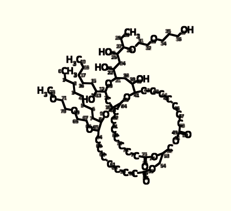 CCCCCCCCC1OC2CC(C(O)CCCCC)OC(C(O)CC(O)C(CC)OCCOCCCO)CC(O)C3CCCCCCCC(=O)OCC(COC(=O)CCCCCCCC1OCCOCCOC)OC(=O)CCCCCCCC2O3